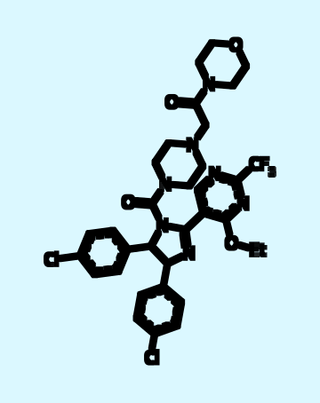 CCOc1nc(C(F)(F)F)ncc1C1=NC(c2ccc(Cl)cc2)C(c2ccc(Cl)cc2)N1C(=O)N1CCN(CC(=O)N2CCOCC2)CC1